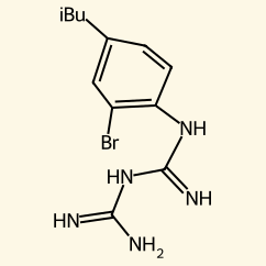 CCC(C)c1ccc(NC(=N)NC(=N)N)c(Br)c1